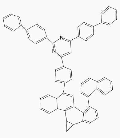 C1=CC2C(c3ccc(-c4cc(-c5ccc(-c6ccccc6)cc5)nc(-c5ccc(-c6ccccc6)cc5)n4)cc3)=CC3=C(C2C=C1)C1CC1c1cccc(-c2cccc4ccccc24)c13